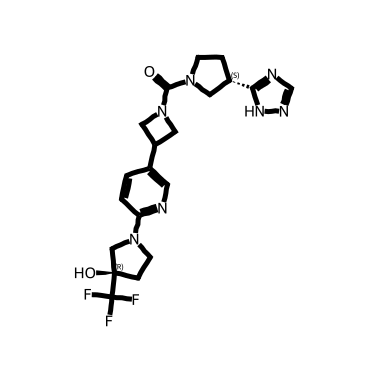 O=C(N1CC(c2ccc(N3CC[C@](O)(C(F)(F)F)C3)nc2)C1)N1CC[C@H](c2ncn[nH]2)C1